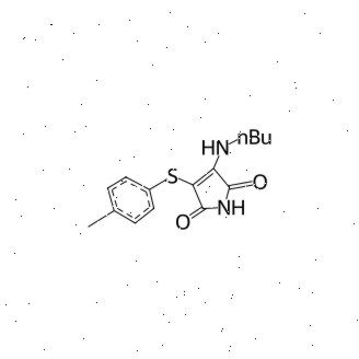 CCCCNC1=C(Sc2ccc(C)cc2)C(=O)NC1=O